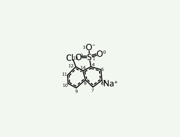 O=S(=O)([O-])c1cccc2cccc(Cl)c12.[Na+]